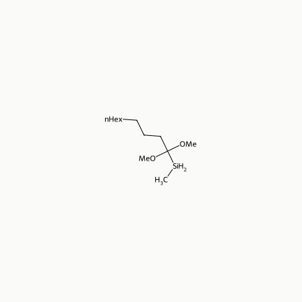 CCCCCCCCCC(OC)(OC)[SiH2]C